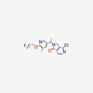 CCc1nccc2c1CN(C(C)c1cnc(OCC(F)(F)F)c(C)c1)C2=O